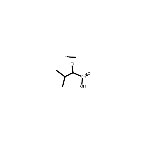 CC(C)[CH]([Ti])[PH](=O)O.[CH2]C